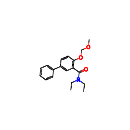 CCN(CC)C(=O)c1cc(-c2ccccc2)ccc1OCOC